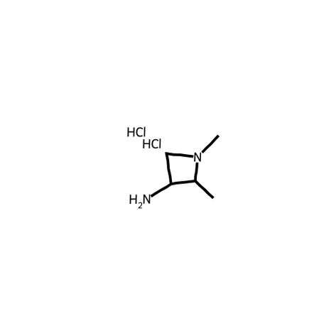 CC1C(N)CN1C.Cl.Cl